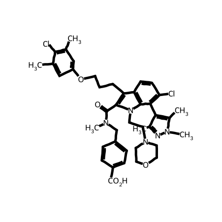 Cc1cc(OCCCc2c(C(=O)N(C)Cc3ccc(C(=O)O)cc3)n(CCN3CCOCC3)c3c(-c4c(C)nn(C)c4C)c(Cl)ccc23)cc(C)c1Cl